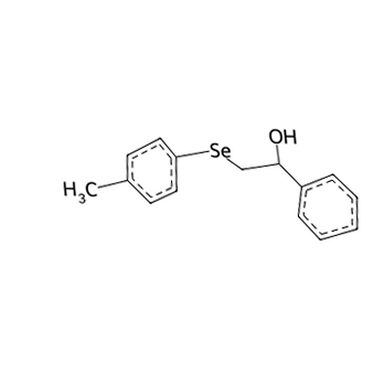 Cc1ccc([Se]CC(O)c2ccccc2)cc1